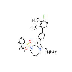 CNC[C@@H]1[C@@H](c2ccc(-c3ccc(F)c(C)c3C)cc2)[C@@H]2CN(S(=O)(=O)c3ccccc3C(F)(F)F)CCCCN12